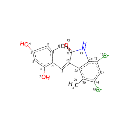 Cc1cc(O)cc(O)c1C=C1C(=O)Nc2c(Br)cc(Br)c(C)c21